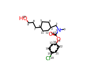 CN(CC1CCC(CCCO)CC1)C(=O)Oc1ccc(Cl)cc1